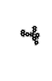 C1=CC2C=CC(c3nc(-c4ccc(-c5cccc6ccccc56)cc4)nc(-c4ccc(-c5ccccc5)c5oc6ccccc6c45)n3)=CC2C=C1